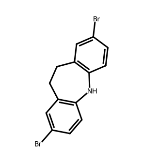 Brc1ccc2c(c1)CCc1cc(Br)ccc1N2